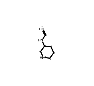 N=CNC1CCCNC1